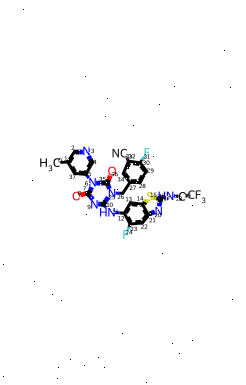 Cc1cncc(-n2c(=O)nc(Nc3cc4sc(NCC(F)(F)F)nc4cc3F)n(Cc3ccc(F)c(C#N)c3)c2=O)c1